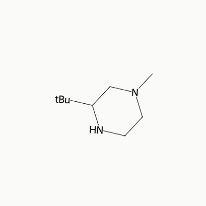 CN1CCNC(C(C)(C)C)C1